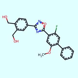 COc1cc(-c2nc(-c3ccc(CO)c(CO)c3)no2)c(F)cc1-c1ccccc1